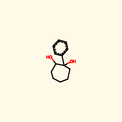 OC1CCCCCC1(O)c1ccccc1